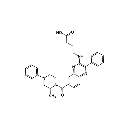 CC1CN(c2ccccc2)CCN1C(=O)c1ccc2nc(-c3ccccc3)c(NCCCC(=O)O)nc2c1